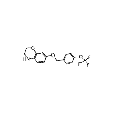 FC(F)(F)Oc1ccc(COc2ccc3c(c2)OCCN3)cc1